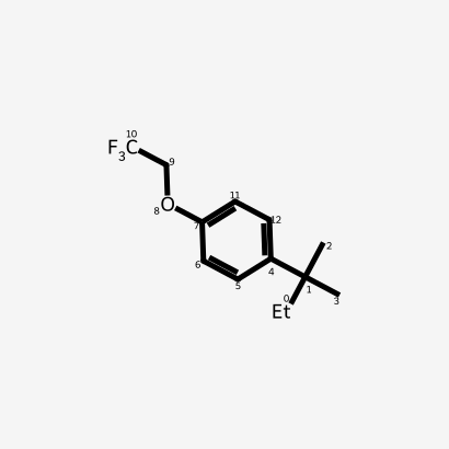 CCC(C)(C)c1ccc(OCC(F)(F)F)cc1